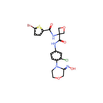 O=C(NC1(C(=O)Nc2ccc(N3CCOCC3=NO)c(Cl)c2)COC1)c1ccc(Br)s1